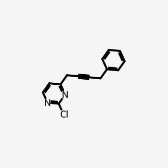 Clc1nccc(CC#CCc2ccccc2)n1